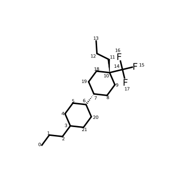 CCCC1CCC([C@H]2CC[C@@](CCC)(C(F)(F)F)CC2)CC1